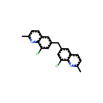 Cc1ccc2cc(Cc3cc(Cl)c4nc(C)ccc4c3)cc(Cl)c2n1